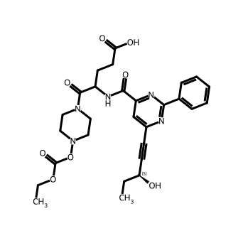 CCOC(=O)ON1CCN(C(=O)C(CCC(=O)O)NC(=O)c2cc(C#C[C@@H](O)CC)nc(-c3ccccc3)n2)CC1